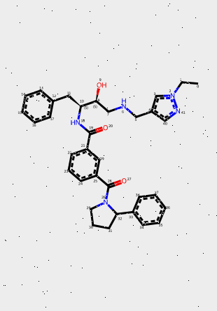 CCn1cc(CNC[C@H](O)[C@H](Cc2ccccc2)NC(=O)c2cccc(C(=O)N3CCCC3c3ccccc3)c2)cn1